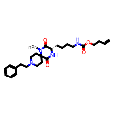 C=CCCOC(=O)NCCCC[C@@H]1NC(=O)C2(CCN(CCc3ccccc3)CC2)N(CCC)C1=O